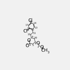 COCOC1CC(=O)OC(CCc2ccc(Cl)cc2Cl)C1